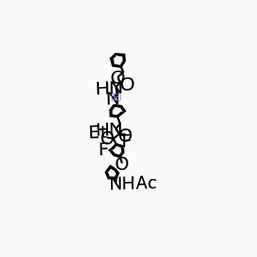 CCOC(C(=O)NCc1ccc(/N=C/NC(=O)OCc2ccccc2)cc1)c1c(F)cc(Oc2cccc(NC(C)=O)c2)cc1F